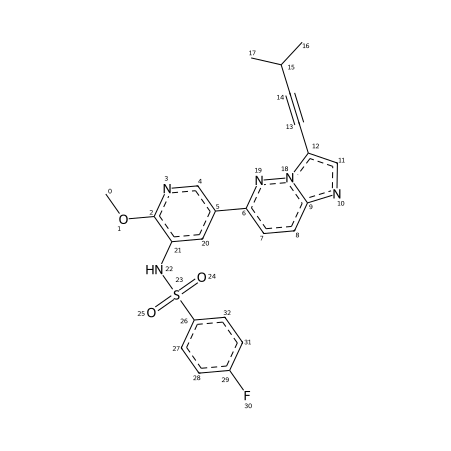 COc1ncc(-c2ccc3ncc(C#CC(C)C)n3n2)cc1NS(=O)(=O)c1ccc(F)cc1